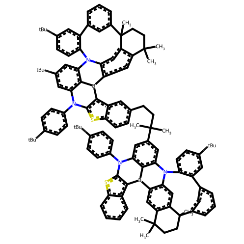 CC(C)(C)c1ccc(N2c3cc(C(C)(C)CCc4ccc5sc6c(c5c4)B4c5cc7c8cc5N(c5ccc(C(C)(C)C)cc5-c5cccc(c5)C8(C)CCC7(C)C)c5cc(C(C)(C)C)cc(c54)N6c4ccc(C(C)(C)C)cc4)cc4c3B(c3cc5c6cc3N4c3ccc(C(C)(C)C)cc3-c3cccc(c3)C6(C)CCC5(C)C)c3c2sc2ccccc32)cc1